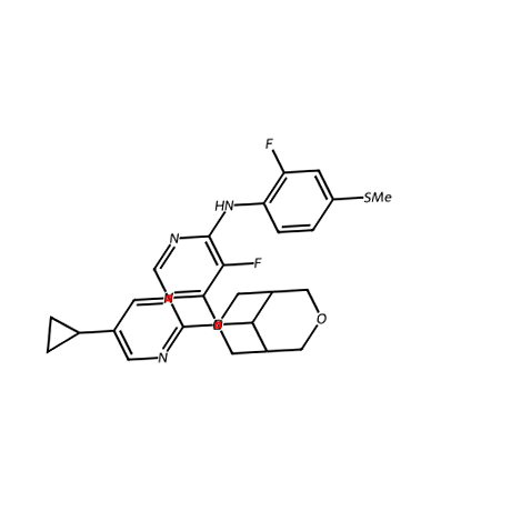 CSc1ccc(Nc2ncnc(OC3C4COCC3CN(c3ncc(C5CC5)cn3)C4)c2F)c(F)c1